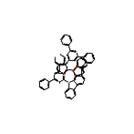 C/C=C\C(=C/C)c1nc(-c2ccccc2)nc(-n2c3ccccc3c3ccc4c5ccccc5n(-c5ccccc5-c5cc(-c6ccccc6)nc(-c6ccccc6-c6ccccc6)c5)c4c32)n1